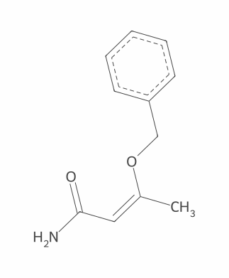 C/C(=C/C(N)=O)OCc1ccccc1